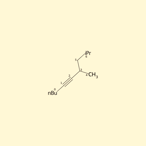 CCCCC#CC(C)CC(C)C